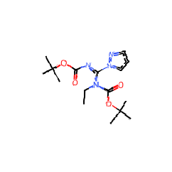 CCN(C(=O)OC(C)(C)C)/C(=N\C(=O)OC(C)(C)C)n1cccn1